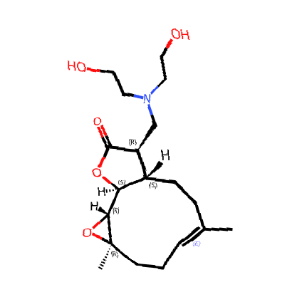 C/C1=C\CC[C@@]2(C)O[C@@H]2[C@H]2OC(=O)[C@@H](CN(CCO)CCO)[C@@H]2CC1